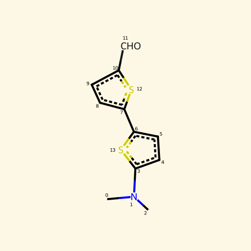 CN(C)c1ccc(-c2ccc(C=O)s2)s1